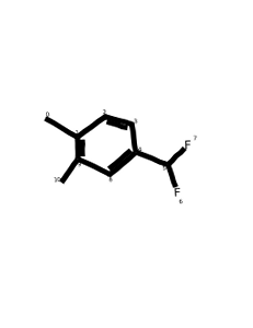 Cc1ccc([C](F)F)cc1C